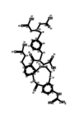 N=C(N)Nc1ccc2c(c1)CCCOc1c(ccc(CCC(=O)O)c1C(=O)N(CC(=O)O)Cc1cccc(CN(CC(=O)O)CC(=O)O)c1)OC2=O